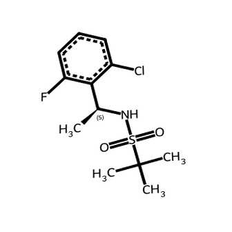 C[C@H](NS(=O)(=O)C(C)(C)C)c1c(F)cccc1Cl